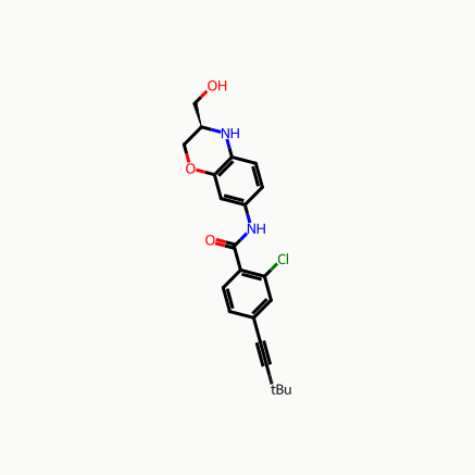 CC(C)(C)C#Cc1ccc(C(=O)Nc2ccc3c(c2)OC[C@@H](CO)N3)c(Cl)c1